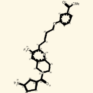 COC(=O)c1cccc(OCCCCc2nc3c(cc2C(F)(F)F)CN(C(=O)C2CCC(N)C2)CC3)c1